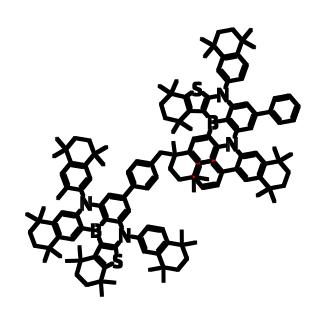 Cc1cc2c(cc1N1c3cc4c(cc3B3c5c1cc(-c1ccc(CC6(C)CCC(C)(C)c7cc8c(cc76)B6c7c(cc(-c9ccccc9)cc7N(c7ccc9c(c7)C(C)(C)CCC9(C)C)c7sc9c(c76)C(C)(C)CCC9(C)C)N8c6cc7c(cc6-c6ccccc6)C(C)(C)CCC7(C)C)cc1)cc5N(c1ccc5c(c1)C(C)(C)CCC5(C)C)c1sc5c(c13)C(C)(C)CCC5(C)C)C(C)(C)CCC4(C)C)C(C)(C)CCC2(C)C